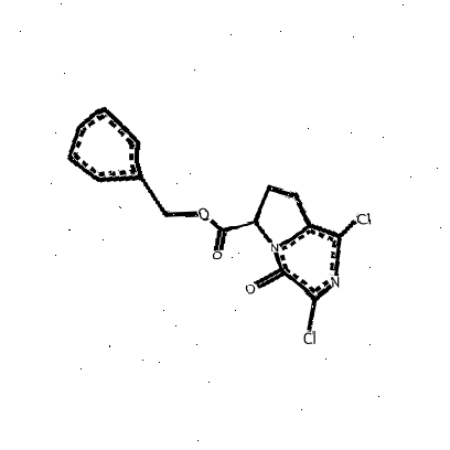 O=C(OCc1ccccc1)[C@H]1CCc2c(Cl)nc(Cl)c(=O)n21